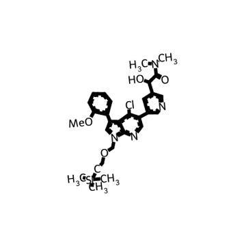 COc1ccccc1-c1cn(COCC[Si](C)(C)C)c2ncc(-c3cncc(C(O)C(=O)N(C)C)c3)c(Cl)c12